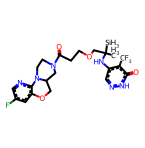 CC([SiH3])(COCCC(=O)N1CCN2c3ncc(F)cc3OCC2C1)Nc1cn[nH]c(=O)c1C(F)(F)F